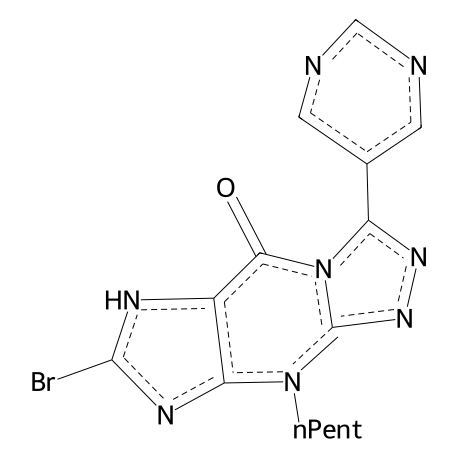 CCCCCn1c2nc(Br)[nH]c2c(=O)n2c(-c3cncnc3)nnc12